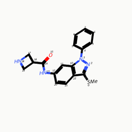 CSc1nn(-c2ccccc2)c2cc(NC(=O)C3CNC3)ccc12